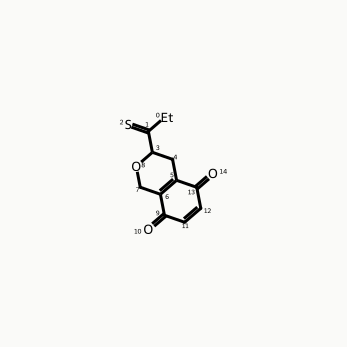 CCC(=S)C1CC2=C(CO1)C(=O)C=CC2=O